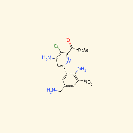 COC(=O)c1nc(-c2cc(CN)cc([N+](=O)[O-])c2N)cc(N)c1Cl